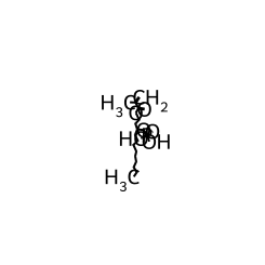 C=C(C)C(=O)OCCC(CCCCCCCCC)OP(=O)(O)O